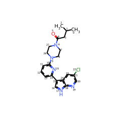 CC(C)CC(=O)N1CCN(c2cccc(-c3c[nH]c4ncc(Cl)cc34)n2)CC1